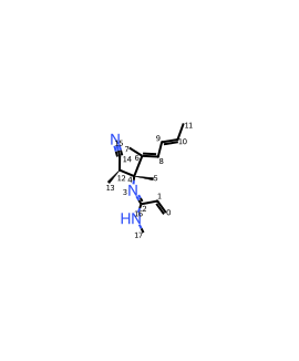 C=C/C(=N\[C@@](C)(/C(C)=C/C=C/C)[C@@H](C)C#N)NC